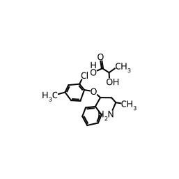 CC(O)C(=O)O.Cc1ccc(OC(CC(C)N)c2ccccc2)c(Cl)c1